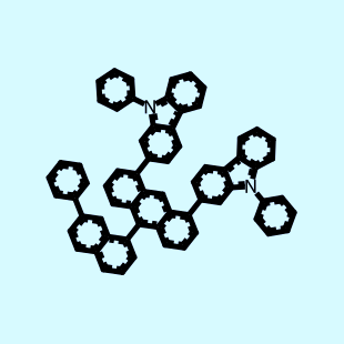 c1ccc(-c2ccc3cccc(-c4c5cccc(-c6ccc7c8ccccc8n(-c8ccccc8)c7c6)c5cc5c(-c6ccc7c8ccccc8n(-c8ccccc8)c7c6)cccc45)c3c2)cc1